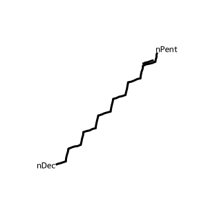 CCCCCC=CCCCCCCCCCCCCCCCCCCCCC